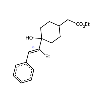 CCOC(=O)CC1CCC(O)(/C(=C/c2ccccc2)CC)CC1